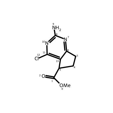 COC(=O)C1CCc2nc(N)nc(Cl)c21